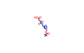 CC(C)(C)C(=O)OCn1cnc(CNC(=O)CCC(=O)O)c1